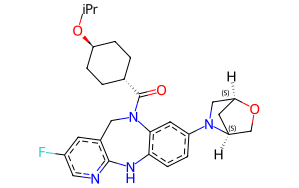 CC(C)O[C@H]1CC[C@H](C(=O)N2Cc3cc(F)cnc3Nc3ccc(N4C[C@@H]5C[C@H]4CO5)cc32)CC1